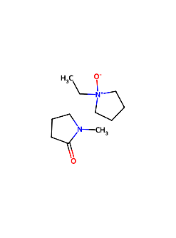 CC[N+]1([O-])CCCC1.CN1CCCC1=O